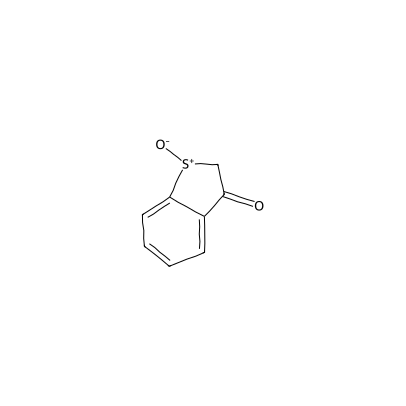 O=C1C[S+]([O-])c2ccccc21